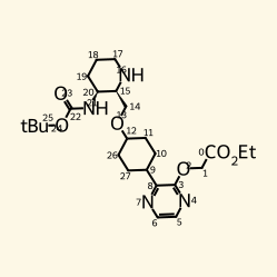 CCOC(=O)COc1nccnc1C1CCC(OC[C@@H]2NCCC[C@@H]2NC(=O)OC(C)(C)C)CC1